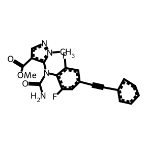 COC(=O)c1cnn(C)c1N(C(N)=O)c1c(F)cc(C#Cc2ccccc2)cc1F